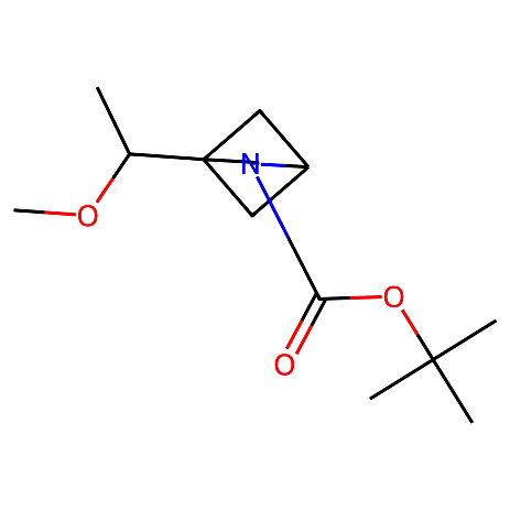 COC(C)C12CC(C1)N(C(=O)OC(C)(C)C)C2